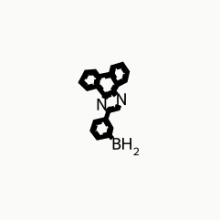 Bc1cccc(-c2cnc3c4ccccc4c4ccccc4c3n2)c1